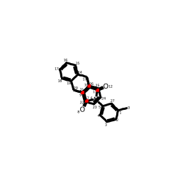 Cc1cccc(N2C(=O)C3=C(C2=O)C2c4ccccc4C3c3ccccc32)c1